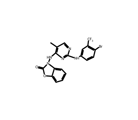 Cc1cnc(Nc2ccc(Br)c(C(F)(F)F)c2)nc1Nn1c(=O)oc2ccccc21